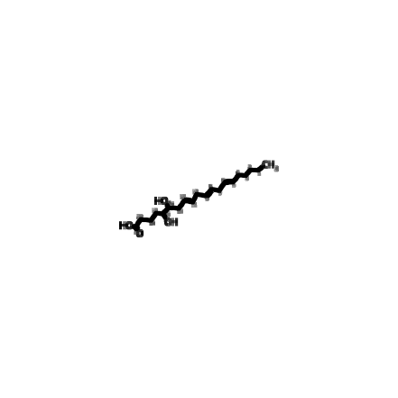 CCCCCC=CCC=CCC=CCC(O)C(O)CCCC(=O)O